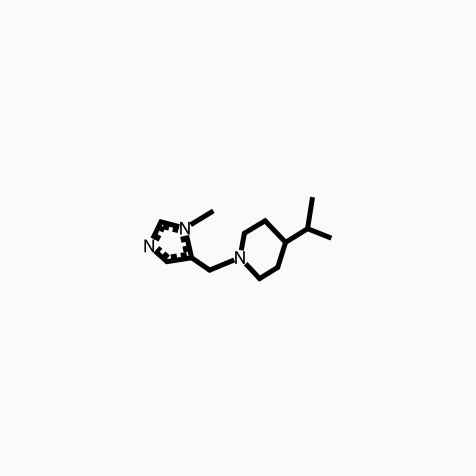 CC(C)C1CCN(Cc2cncn2C)CC1